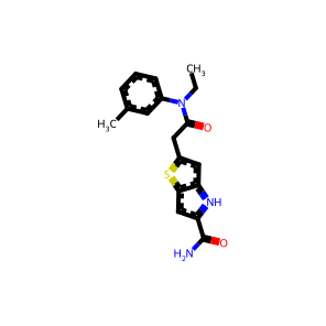 CCN(C(=O)Cc1cc2[nH]c(C(N)=O)cc2s1)c1cccc(C)c1